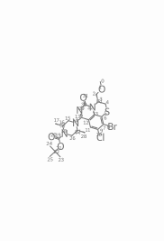 COC[C@H]1CSc2c(Br)c(Cl)cc3c(N4C[C@H](C)N(C(=O)OC(C)(C)C)C[C@@H]4C)nc(=O)n1c23